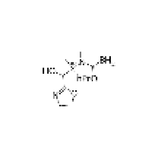 BC(=O)N[C@@](C)(CCC)C(O)C1=NCCO1